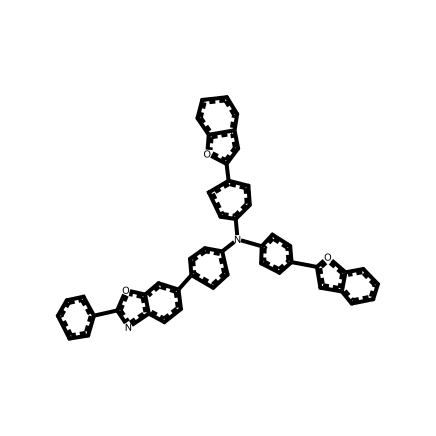 c1ccc(-c2nc3ccc(-c4ccc(N(c5ccc(-c6cc7ccccc7o6)cc5)c5ccc(-c6cc7ccccc7o6)cc5)cc4)cc3o2)cc1